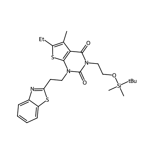 CCc1sc2c(c1C)c(=O)n(CCO[Si](C)(C)C(C)(C)C)c(=O)n2CCc1nc2ccccc2s1